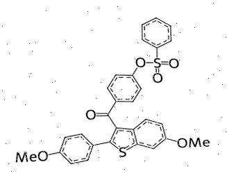 COc1ccc(-c2sc3cc(OC)ccc3c2C(=O)c2ccc(OS(=O)(=O)c3ccccc3)cc2)cc1